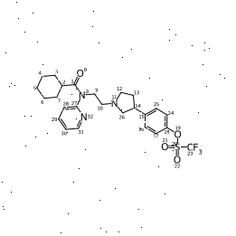 O=C(C1CCCCC1)N(CCN1CCC(c2ccc(OS(=O)(=O)C(F)(F)F)cc2)C1)c1ccccn1